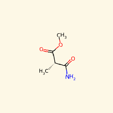 COC(=O)[C@@H](C)C(N)=O